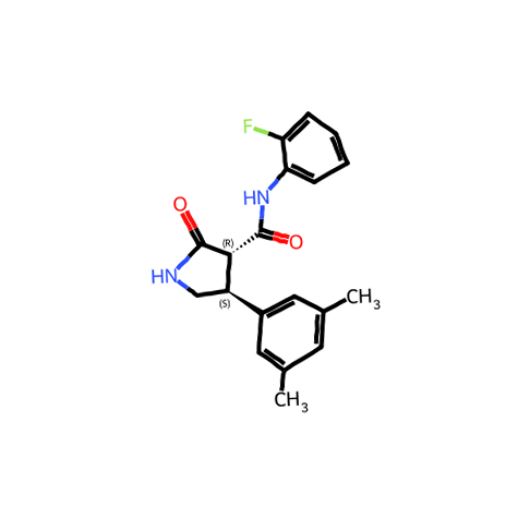 Cc1cc(C)cc([C@H]2CNC(=O)[C@@H]2C(=O)Nc2ccccc2F)c1